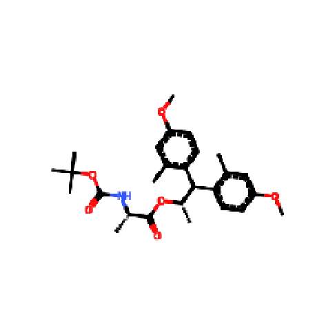 COc1ccc(C(c2ccc(OC)cc2C)[C@H](C)OC(=O)[C@H](C)NC(=O)OC(C)(C)C)c(C)c1